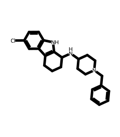 Clc1ccc2[nH]c3c(c2c1)CCCC3NC1CCN(Cc2ccccc2)CC1